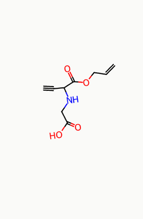 C#CC(NCC(=O)O)C(=O)OCC=C